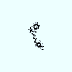 O=C(O)C(CCCCCc1ccc(Cl)cc1)Sc1ccccn1